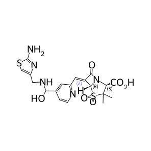 CC1(C)[C@H](C(=O)O)N2C(=O)/C(=C/c3cc(C(O)NCc4csc(N)n4)ccn3)[C@H]2S1(=O)=O